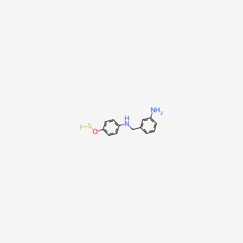 Nc1cccc(CNc2ccc(OSF)cc2)c1